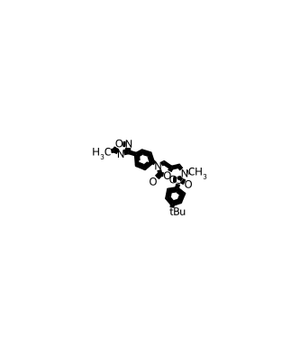 Cc1nc(-c2ccc(N3CC(CN(C)S(=O)(=O)c4ccc(C(C)(C)C)cc4)OC3=O)cc2)no1